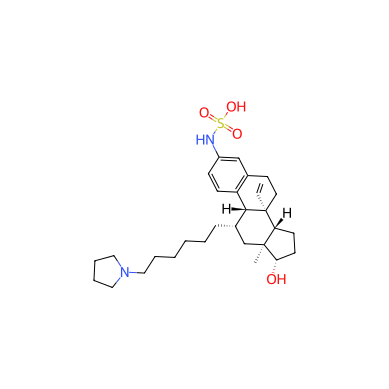 C=C[C@@]12CCc3cc(NS(=O)(=O)O)ccc3[C@H]1[C@@H](CCCCCCN1CCCC1)C[C@@]1(C)[C@H]2CC[C@@H]1O